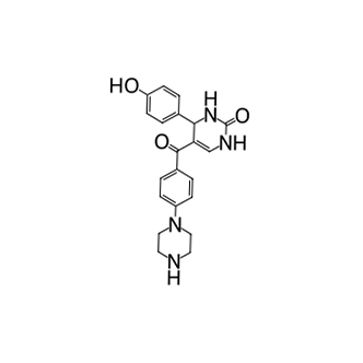 O=C1NC=C(C(=O)c2ccc(N3CCNCC3)cc2)C(c2ccc(O)cc2)N1